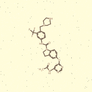 CC(=O)Nc1cc(Oc2ccc3c(c2)CCN3C(=O)Nc2ccc(CN3CCNCC3)c(C(F)(F)F)c2)ncn1